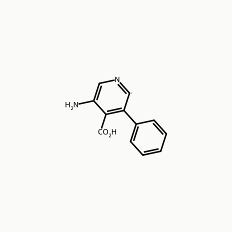 Nc1cn[c]c(-c2ccccc2)c1C(=O)O